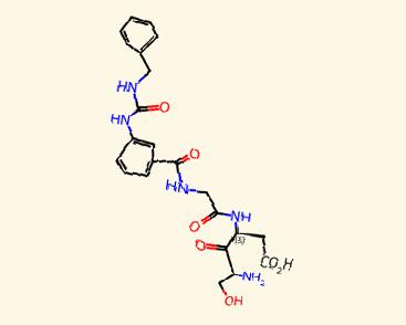 NC(CO)C(=O)[C@H](CC(=O)O)NC(=O)CNC(=O)c1cccc(NC(=O)NCc2ccccc2)c1